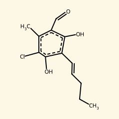 CCCC=Cc1c(O)c(Cl)c(C)c(C=O)c1O